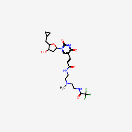 CN(CCNC(=O)/C=C/c1cn(C2CC(O)C(CC3CC3)O2)c(=O)[nH]c1=O)CCNC(=O)C(F)(F)F